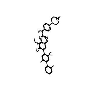 CCn1c(=O)c(-c2cc(C)c(-c3ccccc3C)cc2Cl)cc2cnc(Nc3ccc(C4CCN(C)CC4)cc3)nc21